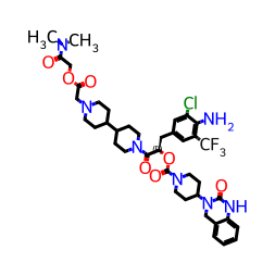 CN(C)C(=O)COC(=O)CN1CCC(C2CCN(C(=O)[C@@H](Cc3cc(Cl)c(N)c(C(F)(F)F)c3)OC(=O)N3CCC(N4Cc5ccccc5NC4=O)CC3)CC2)CC1